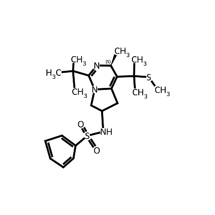 CSC(C)(C)C1=C2CC(NS(=O)(=O)c3ccccc3)CN2C(C(C)(C)C)=N[C@H]1C